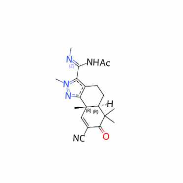 C/N=C(\NC(C)=O)c1c2c(nn1C)[C@@]1(C)C=C(C#N)C(=O)C(C)(C)[C@@H]1CC2